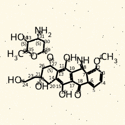 COc1cccc2c1C(=N)c1c(O)c3c(c(O)c1C2=O)C[C@@](O)(CCO)C[C@@H]3O[C@H]1C[C@H](N)[C@H](O)[C@H](C)O1